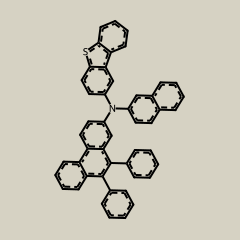 c1ccc(-c2c(-c3ccccc3)c3cc(N(c4ccc5ccccc5c4)c4ccc5sc6ccccc6c5c4)ccc3c3ccccc23)cc1